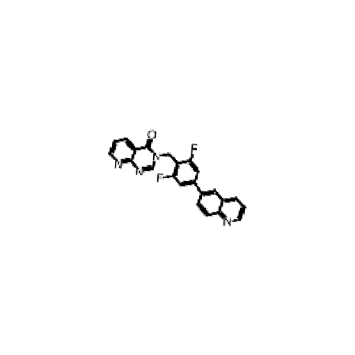 O=c1c2cccnc2ncn1Cc1c(F)cc(-c2ccc3ncccc3c2)cc1F